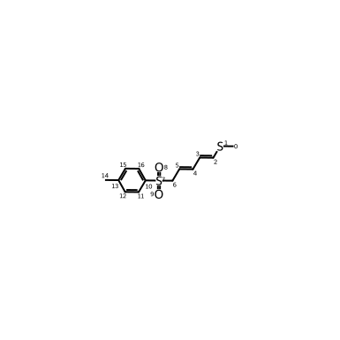 CSC=CC=CCS(=O)(=O)c1ccc(C)cc1